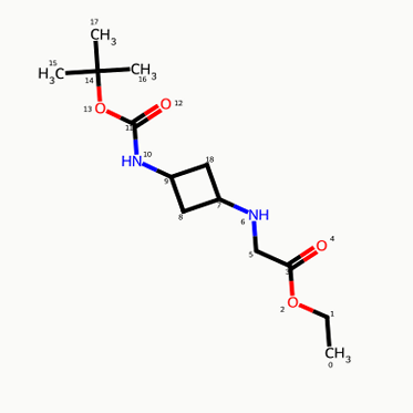 CCOC(=O)CNC1CC(NC(=O)OC(C)(C)C)C1